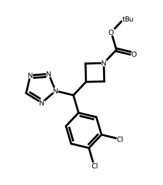 CC(C)(C)OC(=O)N1CC(C(c2ccc(Cl)c(Cl)c2)n2ncnn2)C1